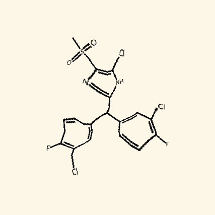 CS(=O)(=O)c1nc(C(c2ccc(F)c(Cl)c2)c2ccc(F)c(Cl)c2)[nH]c1Cl